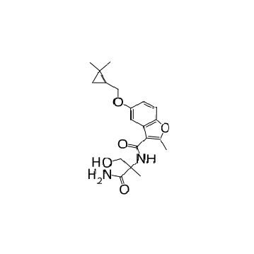 Cc1oc2ccc(OCC3CC3(C)C)cc2c1C(=O)NC(C)(CO)C(N)=O